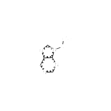 CCCCSn1cnc2cncnc21